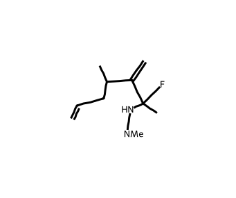 C=CCC(C)C(=C)C(C)(F)NNC